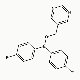 Fc1ccc(B(OCc2cncnc2)c2ccc(F)cc2)cc1